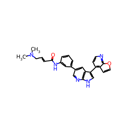 CN(C)CC=CC(=O)Nc1cccc(-c2cnc3[nH]cc(-c4ccnc5occc45)c3c2)c1